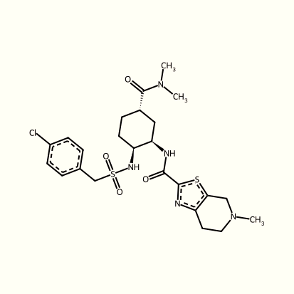 CN1CCc2nc(C(=O)N[C@@H]3C[C@@H](C(=O)N(C)C)CC[C@@H]3NS(=O)(=O)Cc3ccc(Cl)cc3)sc2C1